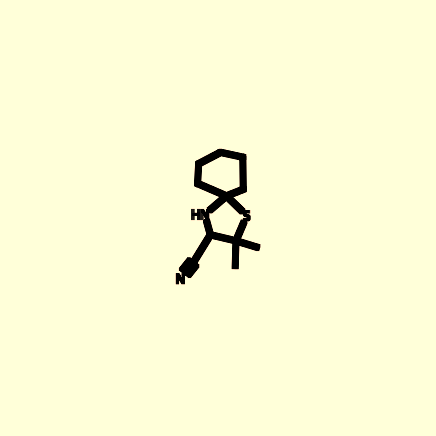 CC1(C)SC2(CCCCC2)NC1C#N